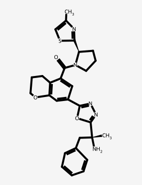 Cc1csc([C@H]2CCCN2C(=O)c2cc(-c3nnc([C@](C)(N)Cc4ccccc4)o3)cc3c2CCCO3)n1